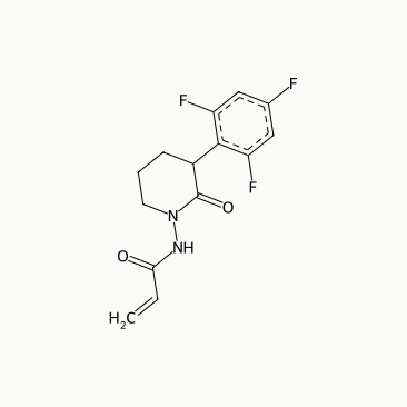 C=CC(=O)NN1CCCC(c2c(F)cc(F)cc2F)C1=O